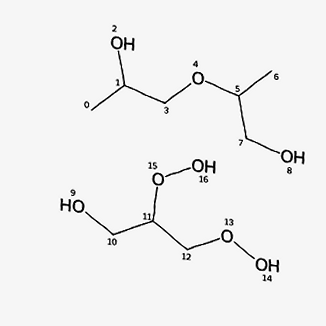 CC(O)COC(C)CO.OCC(COO)OO